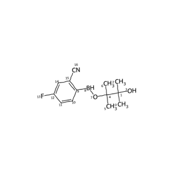 CC(C)(O)C(C)(C)OBc1ccc(F)cc1C#N